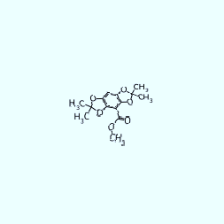 COC(=O)c1c2c(cc3c1OC(C)(C)O3)OC(C)(C)O2